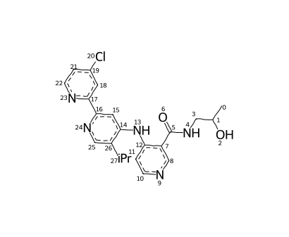 CC(O)CNC(=O)c1cnccc1Nc1cc(-c2cc(Cl)ccn2)ncc1C(C)C